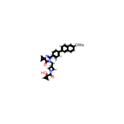 COc1ccc2cc(-c3ccc(C4=NC5(CC5)C(=O)N4CC4CN(C(=O)C5(O)CC5)C4)c(F)c3)ccc2c1